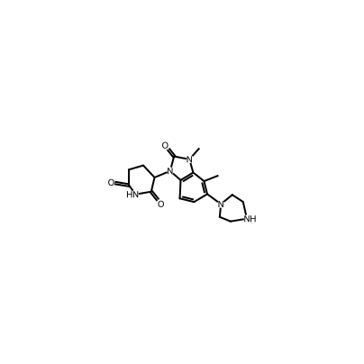 Cc1c(N2CCNCC2)ccc2c1n(C)c(=O)n2C1CCC(=O)NC1=O